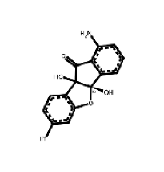 CC(C)c1ccc2c(c1)O[C@@]1(O)c3cccc(N)c3C(=O)C21O